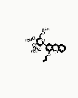 C=CCOc1cc([C@@H]2O[C@H](COCCCC)[C@@H](OCCCC)[C@H](OCCCC)[C@H]2OCCCC)cc(Cc2ccccc2)c1Cl